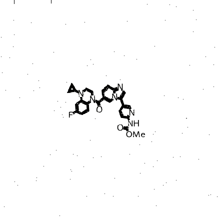 COC(=O)Nc1ccc(-c2cnc3ccc(C(=O)N4CCN(C5CC5)c5cc(F)ccc54)cn23)cn1